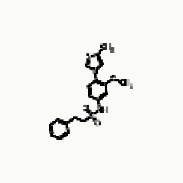 COc1cc(NS(=O)(=O)CCc2ccccc2)ccc1-n1cnc(C)c1